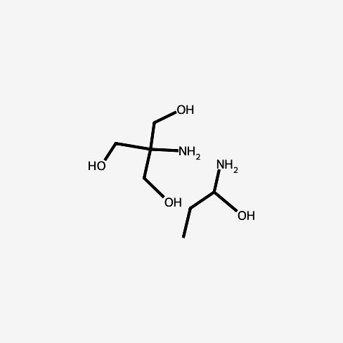 CCC(N)O.NC(CO)(CO)CO